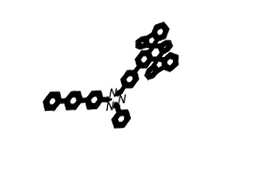 c1ccc(-c2ccc(-c3ccc(-c4nc(-c5ccccc5)nc(-c5ccc(-c6ccc7c(c6)C6(c8ccccc8-c8ccccc86)c6ccccc6C76c7ccccc7-c7ccccc76)cc5)n4)cc3)cc2)cc1